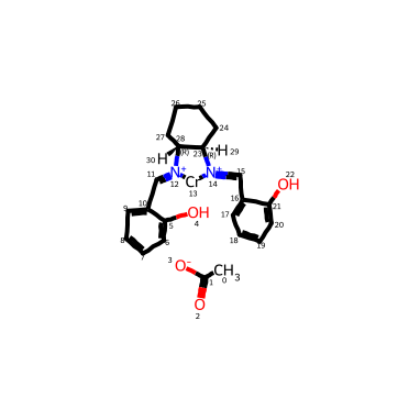 CC(=O)[O-].Oc1ccccc1C=[N+]1[Cr][N+](=Cc2ccccc2O)[C@@H]2CCCC[C@H]21